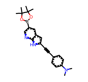 CN(C)c1ccc(C#Cc2cc3cc(B4OC(C)(C)C(C)(C)O4)cnc3[nH]2)cc1